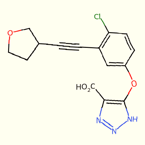 O=C(O)c1nn[nH]c1Oc1ccc(Cl)c(C#CC2CCOC2)c1